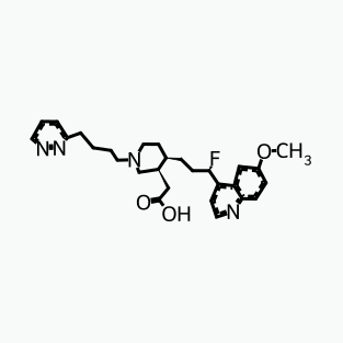 COc1ccc2nccc([C@@H](F)CC[C@@H]3CCN(CCCCc4cccnn4)C[C@@H]3CC(=O)O)c2c1